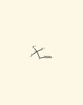 C[N]CC(F)(F)F